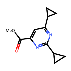 COC(=O)c1cc(C2CC2)nc(C2CC2)n1